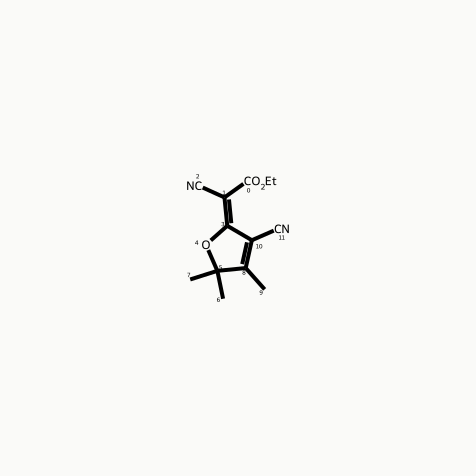 CCOC(=O)C(C#N)=C1OC(C)(C)C(C)=C1C#N